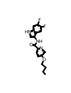 CCCCOc1ccc(C(=O)Nc2c[nH]c3cc(F)c(F)cc23)nc1